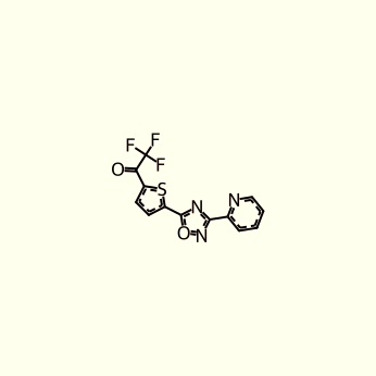 O=C(c1ccc(-c2nc(-c3ccccn3)no2)s1)C(F)(F)F